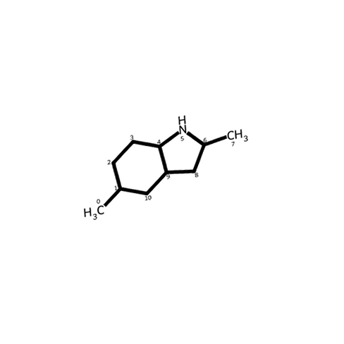 CC1CCC2NC(C)CC2C1